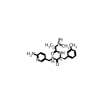 Cc1cccc(C[C@H](NC(=O)[C@H](C)N(C)C(C)C)C(=O)NCc2ccc(N)nc2)c1